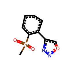 CS(=O)(=O)c1ccccc1-c1conn1